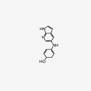 OC1C=CC(Nc2cnc3[nH]ccc3c2)=CC1